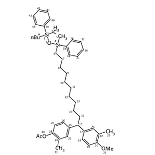 CCCC[Si](C)(O[Si](C)(CCCCCCCCCCC(c1ccc(OC)c(C)c1)c1ccc(OC(C)=O)c(C)c1)c1ccccc1)c1ccccc1